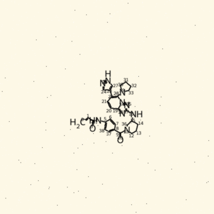 C=CC(=O)Nc1ccc(C(=O)N2CCCC(Nc3nc4ccc(-c5cn[nH]c5)c(N5CCCC5)n4n3)C2)cc1